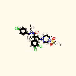 CN(Cc1ccc(Cl)cc1)C(=O)C(C)(CCN1CCCN(S(C)(=O)=O)CC1)c1ccc(Cl)c(Cl)c1